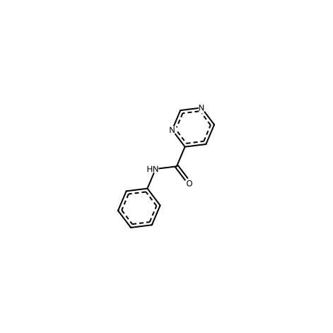 O=C(Nc1ccccc1)c1ccncn1